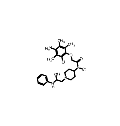 CCN(C(=O)COc1c(C)c(C)c(N)c(C)c1Cl)C1CCN(CC(O)Nc2ccccc2)CC1